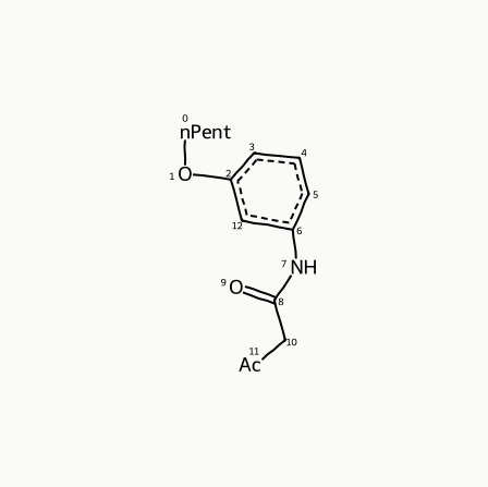 CCCCCOc1cccc(NC(=O)CC(C)=O)c1